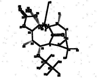 CC1=CC23C(=O)C(C4C(C[C@H]2C)C4(C)C)[C@H](O[Si](C)(C)C(C)(C)C)[C@H](C)C2OC(=O)O[C@]23[C@H]1O